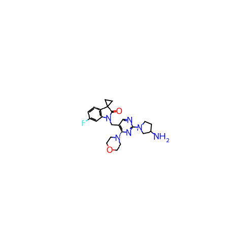 NC1CCN(c2ncc(CN3C(=O)C4(CC4)c4ccc(F)cc43)c(N3CCOCC3)n2)C1